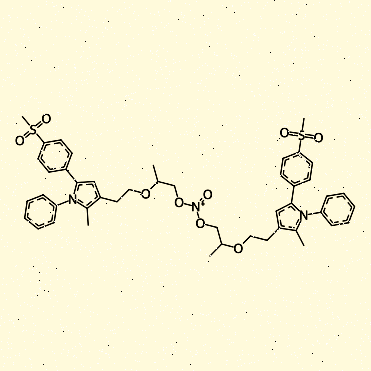 Cc1c(CCOC(C)CO[N+](=O)OCC(C)OCCc2cc(-c3ccc(S(C)(=O)=O)cc3)n(-c3ccccc3)c2C)cc(-c2ccc(S(C)(=O)=O)cc2)n1-c1ccccc1